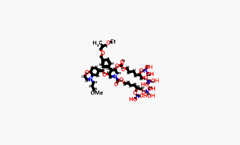 CCOCC(C)COCc1ccc(C2C(OCC3CCC4OCCN(CCCOC)C4C3)CN(C(=O)OCCCCC(CON(O)O)ON(O)O)CC2OC(=O)OCCCCC(CON(O)O)ON(O)O)cc1